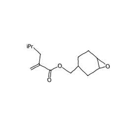 C=C(CC(C)C)C(=O)OCC1CCC2OC2C1